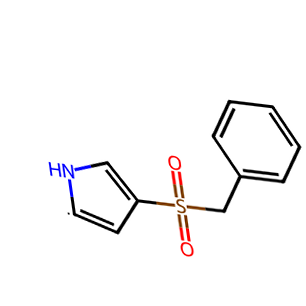 O=S(=O)(Cc1ccccc1)c1c[c][nH]c1